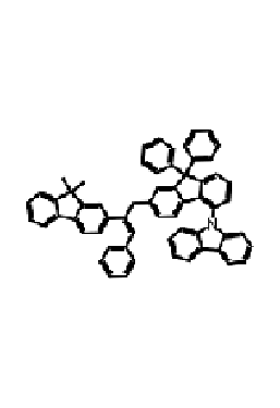 CC1(C)c2ccccc2-c2ccc(/C(=C\c3ccccc3)Cc3ccc4c(c3)C(c3ccccc3)(c3ccccc3)c3cccc(-n5c6ccccc6c6ccccc65)c3-4)cc21